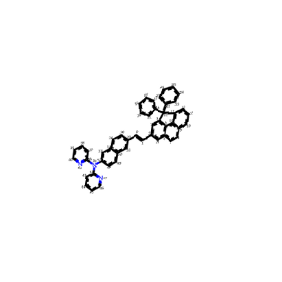 C(=C\c1cc2c3c(ccc4cccc(c43)C2(c2ccccc2)c2ccccc2)c1)/c1ccc2cc(N(c3ccccn3)c3ccccn3)ccc2c1